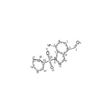 O=Cc1ccc(F)c2c1cnn2S(=O)(=O)c1ccccc1